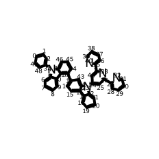 c1ccc(-n2c3ccccc3c3c(-c4ccc5c6ccccc6n(-c6cc(-c7ccccn7)nc(-c7ccccn7)c6)c5c4)cccc32)cc1